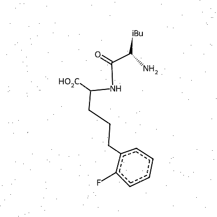 CC[C@H](C)[C@H](N)C(=O)NC(CCCc1ccccc1F)C(=O)O